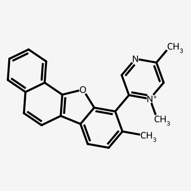 Cc1c[n+](C)c(-c2c(C)ccc3c2oc2c4ccccc4ccc32)cn1